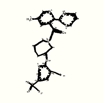 Cc1cnc(-c2ncccn2)c(C(=O)N2CCCC(Oc3ncc(C(F)(F)F)cc3F)C2)c1